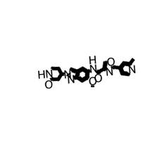 COc1cc2nn(C3CCNC(=O)C3)cc2cc1NC(=O)c1coc(-c2ccnc(C)c2)n1